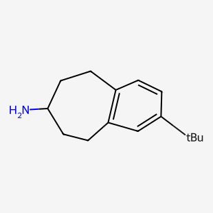 CC(C)(C)c1ccc2c(c1)CCC(N)CC2